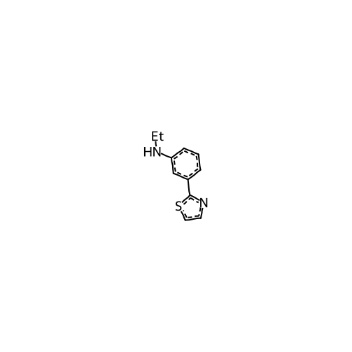 CCNc1cccc(-c2nccs2)c1